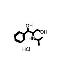 CC(C)NC(CO)C(O)c1ccccc1.Cl